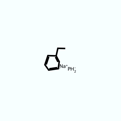 CCc1c[c]ccc1.[Na+].[PH2-]